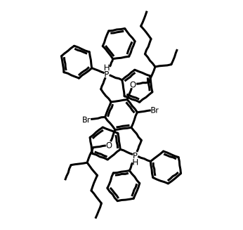 CCCCC(CC)COc1c(Br)c(C[PH](c2ccccc2)(c2ccccc2)c2ccccc2)c(OCC(CC)CCCC)c(Br)c1C[PH](c1ccccc1)(c1ccccc1)c1ccccc1